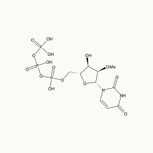 CO[C@@H]1[C@H](O)[C@@H](COP(=O)(O)OP(=O)(O)OP(=O)(O)O)O[C@H]1n1ccc(=O)[nH]c1=O